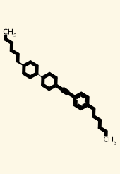 CCCCCCc1ccc(C#CC2CCC([C@H]3CC[C@H](CCCCCC)CC3)CC2)cc1